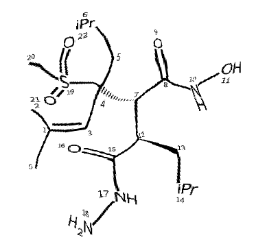 CC(C)=CC(CC(C)C)([C@H](C(=O)NO)[C@@H](CC(C)C)C(=O)NN)S(C)(=O)=O